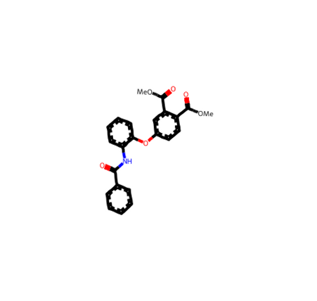 COC(=O)c1ccc(Oc2ccccc2NC(=O)c2ccccc2)cc1C(=O)OC